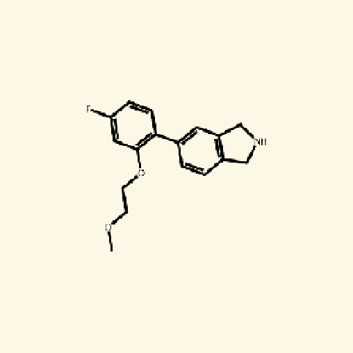 COCCOc1cc(F)ccc1-c1ccc2c(c1)CNC2